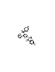 O=C(Nc1nc(-c2ccco2)c(C(=O)C2CCOCC2)s1)c1ccc(Cl)cc1